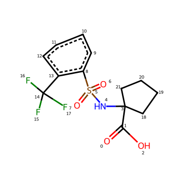 O=C(O)C1(NS(=O)(=O)c2ccccc2C(F)(F)F)CCCC1